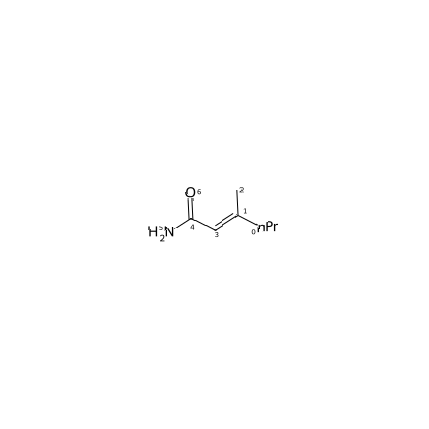 CCCC(C)=CC(N)=O